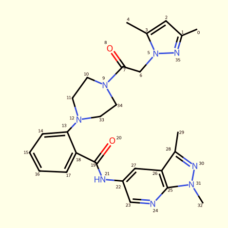 Cc1cc(C)n(CC(=O)N2CCN(c3ccccc3C(=O)Nc3cnc4c(c3)c(C)nn4C)CC2)n1